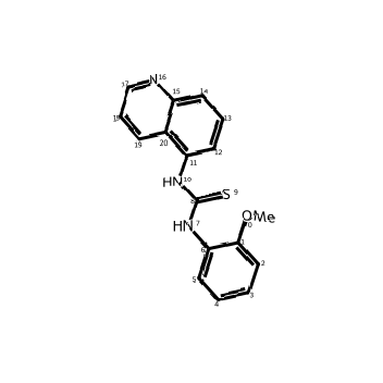 COc1ccccc1NC(=S)Nc1cccc2ncccc12